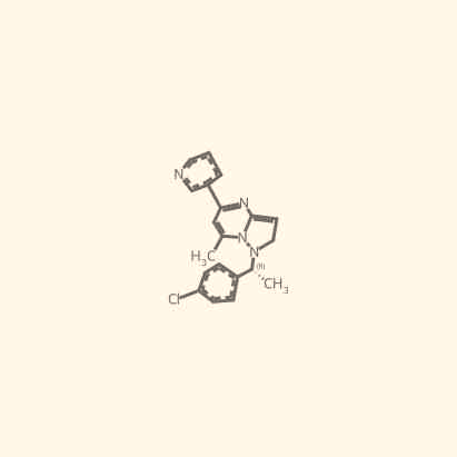 CC1=CC(c2cccnc2)=NC2=CCN([C@H](C)c3ccc(Cl)cc3)N12